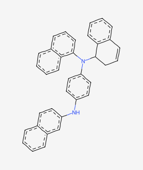 C1=Cc2ccccc2C(N(c2ccc(Nc3ccc4ccccc4c3)cc2)c2cccc3ccccc23)C1